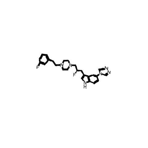 Fc1cccc(CCN2CCN(C[C@H](F)Cc3c[nH]c4ccc(-n5cnnc5)cc34)CC2)c1